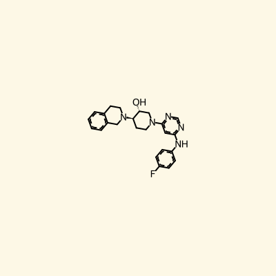 O[C@@H]1CN(c2cc(Nc3ccc(F)cc3)ncn2)CC[C@H]1N1CCc2ccccc2C1